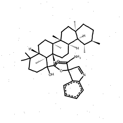 C[C@@H]1[C@H]2[C@H]3CC[C@@H]4[C@]5(C)[C@@H](CC[C@@]4(C)[C@]3(C)CC[C@@]2(C)CC[C@H]1C)C(C)(C)CCC5(O)C(=O)OC1(C(N)=O)C=Nc2ccccc21